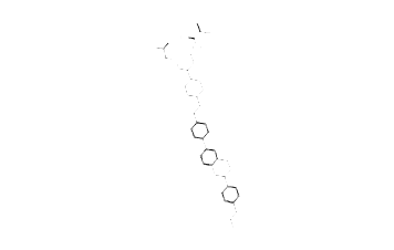 C=C(C)C(=O)OCC(CCOC(=O)C(=C)CO)C1CCC(CCc2ccc(-c3ccc4c(c3)CCC(c3ccc(CCC)cc3)C4)cc2)CC1